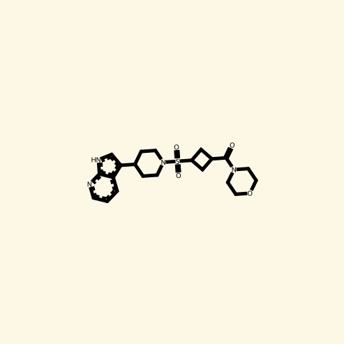 O=C(C1CC(S(=O)(=O)N2CCC(c3c[nH]c4ncccc34)CC2)C1)N1CCOCC1